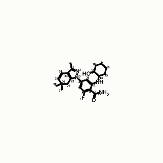 Cc1nn(-c2cc(F)c(C(N)=O)c(NC3CCCCC3O)c2)c2c1C=CC(C)(C)C2